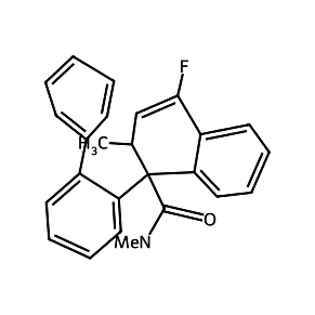 CNC(=O)C1(c2ccccc2-c2ccccc2)c2ccccc2C(F)=CC1C